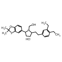 CCc1ccc(CCC2CCC(c3ccc4c(c3)SC(C)(C)O4)N2CO)cc1CC.Cl